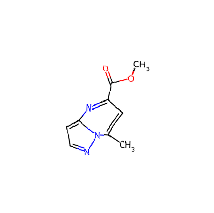 COC(=O)c1cc(C)n2nccc2n1